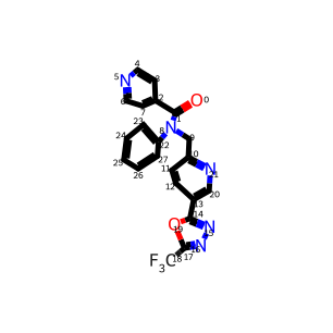 O=C(c1ccncc1)N(Cc1ccc(-c2nnc(C(F)(F)F)o2)cn1)c1ccccc1